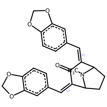 CN1C2CCC1/C(=C/c1ccc3c(c1)OCO3)C(=O)/C2=C\c1ccc2c(c1)OCO2